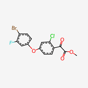 COC(=O)C(=O)c1ccc(Oc2ccc(Br)c(F)c2)cc1Cl